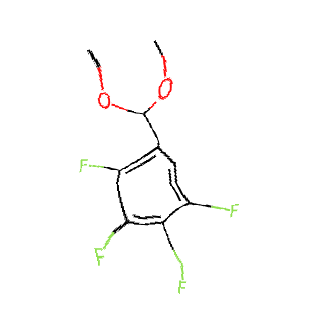 COC(OC)c1cc(F)c(F)c(F)c1F